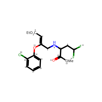 CCOC(=O)/C=C(/CNC(CC(F)F)C(=O)OC)Oc1ccccc1Cl